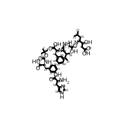 CC(=O)O.CC(C)(C)OC(=O)N[C@@H](Cc1ccccc1)C(=O)O.CC(C)C[C@H](N)[C@@H](O)CC(=O)O.CCC(C)C1C(N)N1[C@@H](Cc1ccccc1)C(=O)O.N[C@@H](Cc1c[nH]cn1)C(=O)O